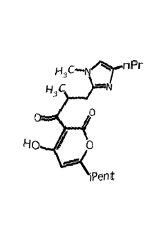 CCCc1cn(C)c(CC(C)C(=O)c2c(O)cc(C(C)CCC)oc2=O)n1